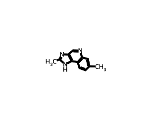 Cc1ccc2c(c1)ncc1nc(C)[nH]c12